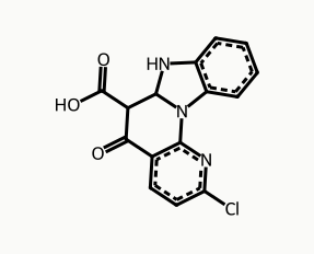 O=C(O)C1C(=O)c2ccc(Cl)nc2N2c3ccccc3NC12